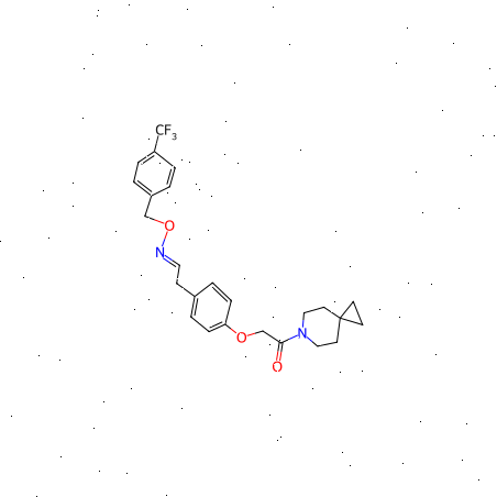 O=C(COc1ccc(CC=NOCc2ccc(C(F)(F)F)cc2)cc1)N1CCC2(CC1)CC2